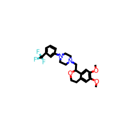 COc1cc2c(cc1OC)C(CN1CCN(c3cccc(C(F)(F)F)c3)CC1)OCC2